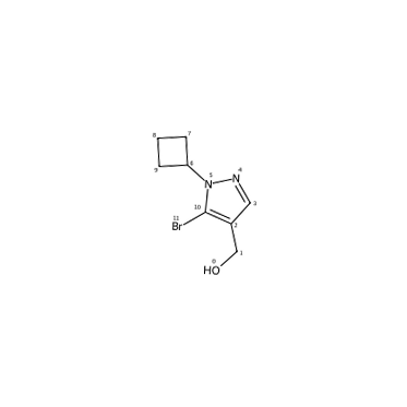 OCc1cnn(C2CCC2)c1Br